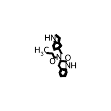 CCCC(=O)N(Cc1ccc2[nH]ccc2c1)C1Cc2ccccc2NC1=O